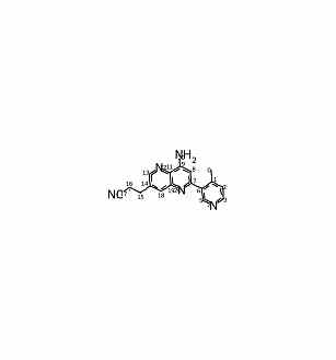 Cc1ccncc1-c1cc(N)c2ncc(C[CH]C#N)cc2n1